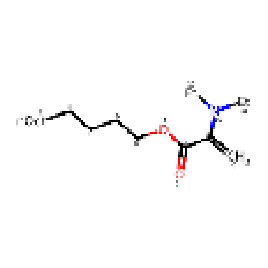 C=C(C(=O)OCCCCCCCCCCCC)N(CC)CC